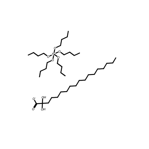 CCCCCCCCCCCCCCCCC(O)(O)C(=O)[O-].CCCC[O][Ti+]([O]CCCC)([O]CCCC)([O]CCCC)[O]CCCC